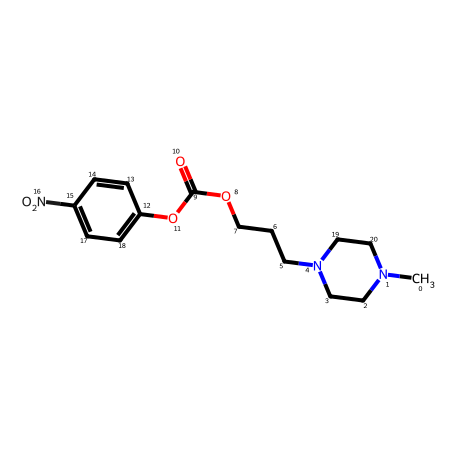 CN1CCN(CCCOC(=O)Oc2ccc([N+](=O)[O-])cc2)CC1